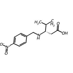 CC(C)[C@H](CC(=O)O)NCc1ccc([N+](=O)[O-])cc1